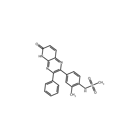 Cc1cc(-c2nc3ccc(=O)[nH]c3nc2-c2ccccc2)ccc1NS(C)(=O)=O